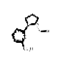 O=C(O)c1cccc(N2CCC[C@@H]2CO)n1